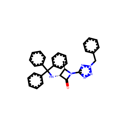 C[C@@H]1[C@@H](NC(c2ccccc2)(c2ccccc2)c2ccccc2)C(=O)N1c1nnn(Cc2ccccc2)n1